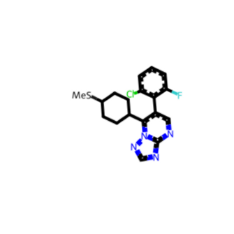 CSC1CCC(c2c(-c3c(F)cccc3Cl)cnc3ncnn23)CC1